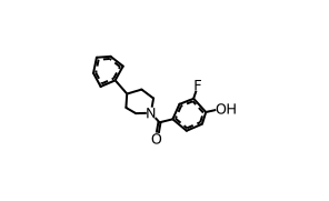 O=C(c1ccc(O)c(F)c1)N1CCC(c2ccccc2)CC1